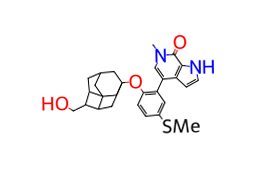 CSc1ccc(OC23CC4CC5C(CO)C(C2)C5(C4)C3)c(-c2cn(C)c(=O)c3[nH]ccc23)c1